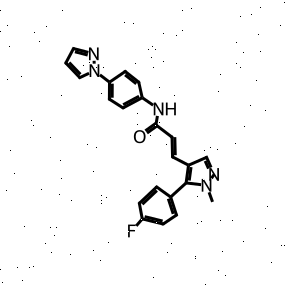 Cn1ncc(/C=C/C(=O)Nc2ccc(-n3cccn3)cc2)c1-c1ccc(F)cc1